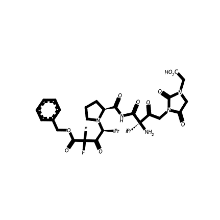 CC(C)[C@@H](C(=O)C(F)(F)C(=O)OCc1ccccc1)N1CCC[C@H]1C(=O)NC(=O)[C@](N)(C(=O)CN1C(=O)CN(CC(=O)O)C1=O)C(C)C